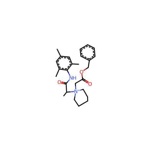 Cc1cc(C)c(NC(=O)C(C)[N+]2(CC(=O)OCc3ccccc3)CCCCC2)c(C)c1